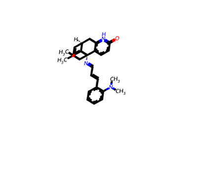 C/C=C1\[C@H]2C=C(C)C[C@]1(N=CC=Cc1ccccc1N(C)C)c1ccc(=O)[nH]c1C2